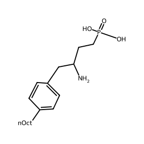 CCCCCCCCc1ccc(CC(N)CCP(=O)(O)O)cc1